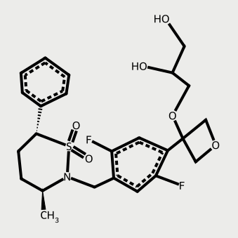 C[C@H]1CC[C@H](c2ccccc2)S(=O)(=O)N1Cc1cc(F)c(C2(OCC(O)CO)COC2)cc1F